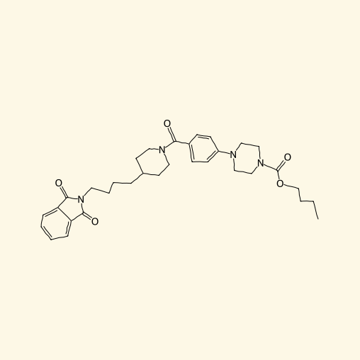 CCCCOC(=O)N1CCN(c2ccc(C(=O)N3CCC(CCCCN4C(=O)c5ccccc5C4=O)CC3)cc2)CC1